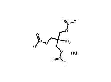 Cl.NC(CO[N+](=O)[O-])(CO[N+](=O)[O-])CO[N+](=O)[O-]